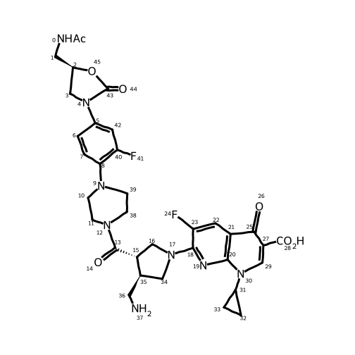 CC(=O)NC[C@@H]1CN(c2ccc(N3CCN(C(=O)[C@@H]4CN(c5nc6c(cc5F)c(=O)c(C(=O)O)cn6C5CC5)C[C@H]4CN)CC3)c(F)c2)C(=O)O1